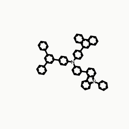 c1ccc(-c2cc(-c3ccccc3)cc(-c3ccc(N(c4ccc(-c5cc6ccccc6c6ccccc56)cc4)c4cccc(-c5cccc6c5c5ccccc5n6-c5ccccc5)c4)cc3)c2)cc1